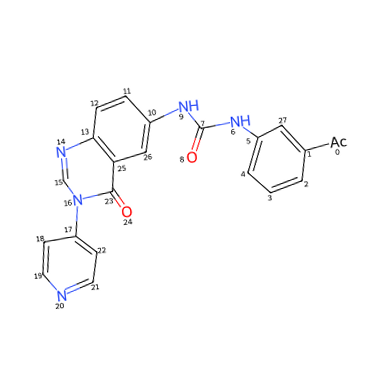 CC(=O)c1cccc(NC(=O)Nc2ccc3ncn(-c4ccncc4)c(=O)c3c2)c1